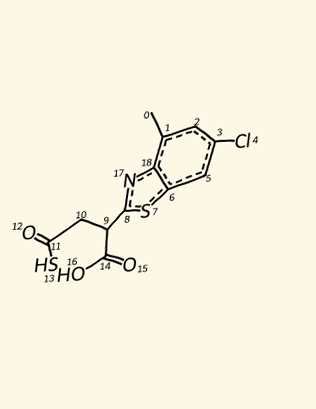 Cc1cc(Cl)cc2sc(C(CC(=O)S)C(=O)O)nc12